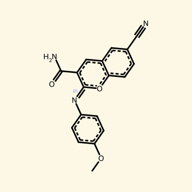 COc1ccc(/N=c2\oc3ccc(C#N)cc3cc2C(N)=O)cc1